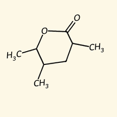 CC1CC(C)C(C)OC1=O